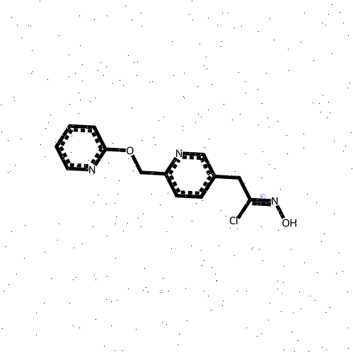 O/N=C(\Cl)Cc1ccc(COc2ccccn2)nc1